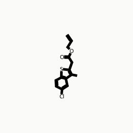 C=CCOC(=O)Cc1sc2ccc(Cl)cc2c1C